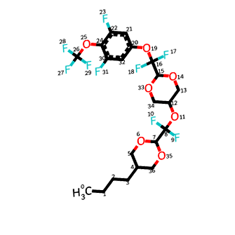 CCCCC1COC(C(F)(F)OC2COC(C(F)(F)Oc3cc(F)c(OC(F)(F)F)c(F)c3)OC2)OC1